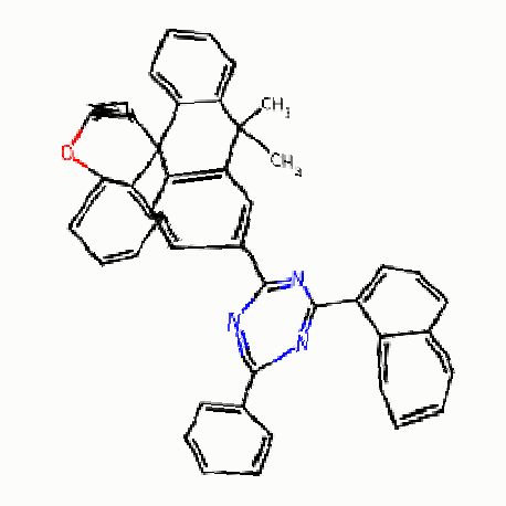 CC1(C)c2ccccc2C2(c3ccccc3Oc3ccccc32)c2ccc(-c3nc(-c4ccccc4)nc(-c4cccc5ccccc45)n3)cc21